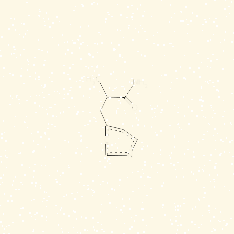 CC(Cc1ccncc1)C(N)=O